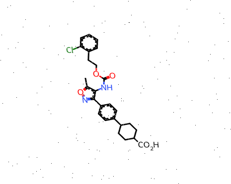 Cc1onc(-c2ccc(C3CCC(C(=O)O)CC3)cc2)c1NC(=O)OCCc1ccccc1Cl